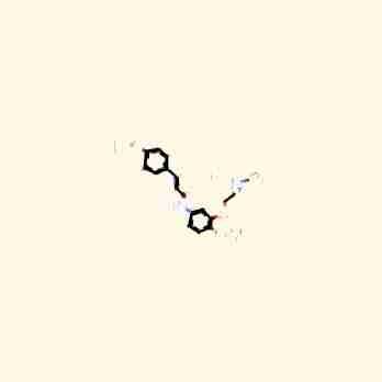 COc1ccc(NC(=O)/C=C/c2ccc(C(F)(F)F)cc2)cc1OCCN(C(C)C)C(C)C